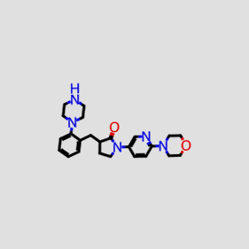 O=C1C(Cc2ccccc2N2CCNCC2)CCN1c1ccc(N2CCOCC2)nc1